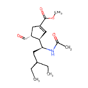 CCC(CC)C[C@H](NC(C)=O)[C@@H]1C=C(C(=O)OC)C[C@H]1C=O